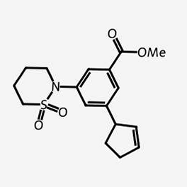 COC(=O)c1cc(C2C=CCC2)cc(N2CCCCS2(=O)=O)c1